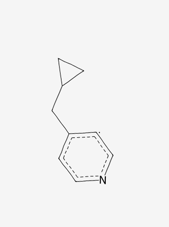 [c]1cnccc1CC1CC1